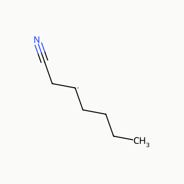 CCCC[CH]CC#N